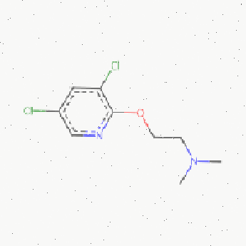 CN(C)CCOc1ncc(Cl)[c]c1Cl